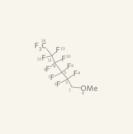 [CH2]OCC(F)(F)C(F)(F)C(F)(F)C(F)(F)C(F)(F)F